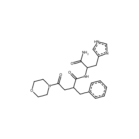 NC(=O)C(Cc1c[nH]cn1)NC(=O)C(CC(=O)N1CCOCC1)Cc1ccccc1